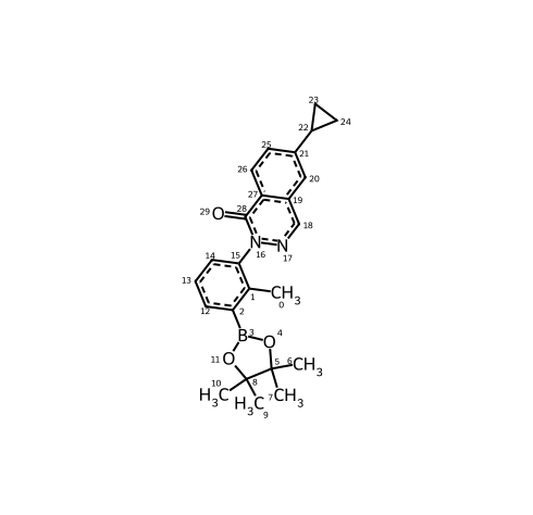 Cc1c(B2OC(C)(C)C(C)(C)O2)cccc1-n1ncc2cc(C3CC3)ccc2c1=O